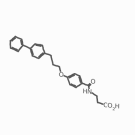 O=C(O)CCNC(=O)c1ccc(OCCCc2ccc(-c3ccccc3)cc2)cc1